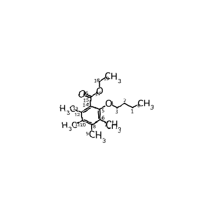 CCCCOc1c(C)c(C)c(C)c(C)c1C(=O)OCC